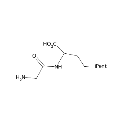 CCCC(C)CCC(NC(=O)CN)C(=O)O